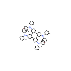 Cc1cccc(N(c2ccccc2)c2ccc3c(c2)-c2cc(N(c4ccccc4)c4ccccc4C)ccc2-c2ccc(N(c4ccccc4)c4ccccc4C)cc2-c2cc(N(c4ccccc4)c4ccccc4C)ccc2-3)c1